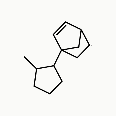 CC1CCCC1C12C=CC([CH]C1)C2